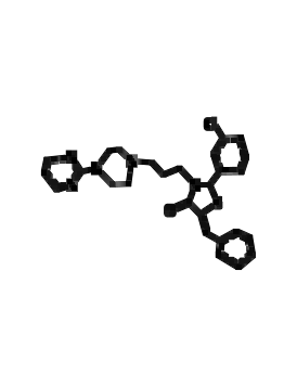 O=C1C(=Cc2ccccc2)SC(c2cccc(Cl)c2)N1CCCN1CCN(c2ncccn2)CC1